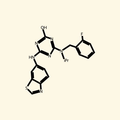 CC(C)N(Cc1ccccc1F)c1nc(O)nc(Nc2ccc3ncsc3c2)n1